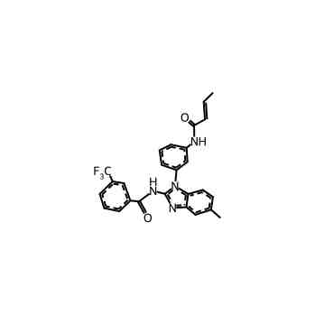 C/C=C/C(=O)Nc1cccc(-n2c(NC(=O)c3cccc(C(F)(F)F)c3)nc3cc(C)ccc32)c1